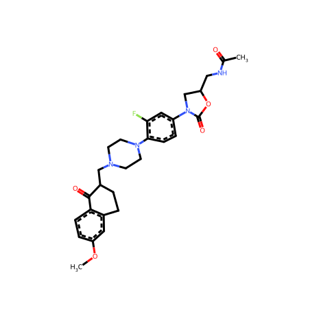 COc1ccc2c(c1)CCC(CN1CCN(c3ccc(N4CC(CNC(C)=O)OC4=O)cc3F)CC1)C2=O